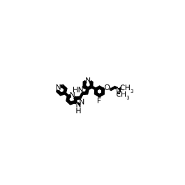 CN(C)CCOc1cc(F)cc(-c2cncc3[nH]c(-c4n[nH]c5ccc(-c6ccncc6)nc45)cc23)c1